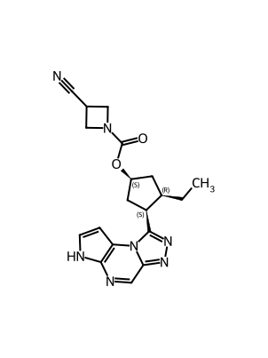 CC[C@@H]1C[C@H](OC(=O)N2CC(C#N)C2)C[C@@H]1c1nnc2cnc3[nH]ccc3n12